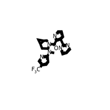 CN(c1ccc(C(F)(F)F)cn1)C1CC2CC2CN1C(=O)c1ncccc1-c1ncccn1